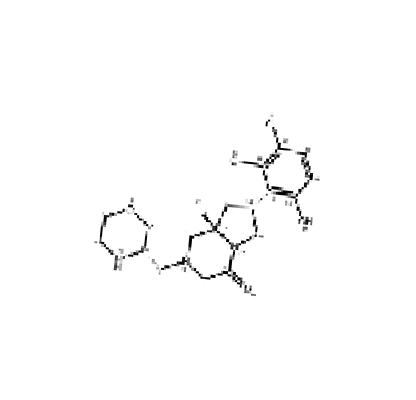 O=C1CN(C[C@H]2COCCN2)C[C@@H]2C[C@H](c3c(O)ccc(Cl)c3Cl)CN12